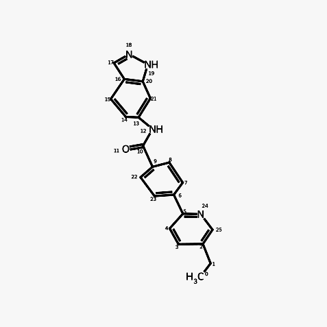 CCc1ccc(-c2ccc(C(=O)Nc3ccc4cn[nH]c4c3)cc2)nc1